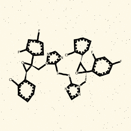 Fc1ccc([C@@]2(Cn3ncnc3SSc3ncnn3C[C@]3(c4ccc(F)cc4F)O[C@@H]3c3ccccc3Cl)O[C@@H]2c2ccccc2Cl)c(F)c1